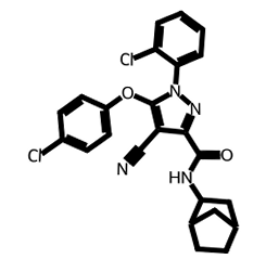 N#Cc1c(C(=O)NC2CC3CCC2C3)nn(-c2ccccc2Cl)c1Oc1ccc(Cl)cc1